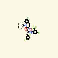 CC(C)N1C(=O)[C@H](NC(=O)[C@@H](Cc2cc(F)ccc2F)NC(=O)c2ccc(F)cc2C(F)(F)F)CCc2cc(Cl)ccc21